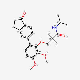 COc1ccc(-c2ccc3c(c2)CCC3=O)c(OCC(C)(C)C(=O)NC(C)C)c1OC